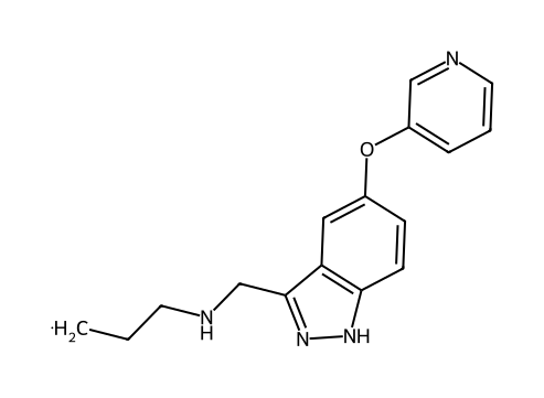 [CH2]CCNCc1n[nH]c2ccc(Oc3cccnc3)cc12